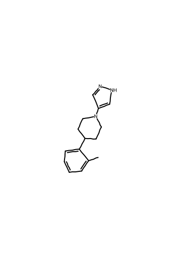 Cc1ccccc1C1CCN(c2cn[nH]c2)CC1